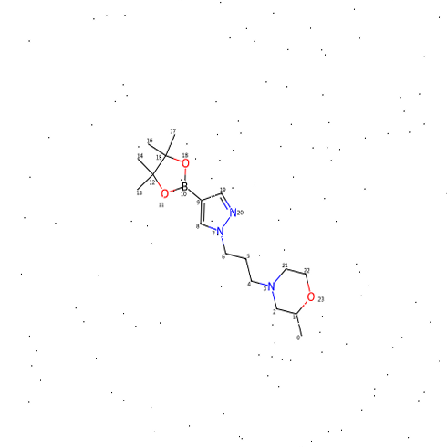 CC1CN(CCCn2cc(B3OC(C)(C)C(C)(C)O3)cn2)CCO1